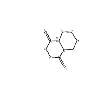 O=C1CCC(=O)C2CCCCC12